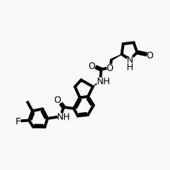 Cc1cc(NC(=O)c2cccc3c2CC[C@@H]3NC(=O)OC[C@H]2CCC(=O)N2)ccc1F